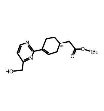 CC(C)(C)OC(=O)C[C@H]1CC=C(c2nccc(CO)n2)CC1